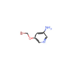 Nc1cncc(OCBr)c1